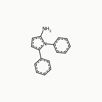 Nc1ccc(-c2ccccc2)n1-c1ccccc1